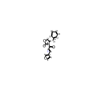 O=C(/C=C/c1ccoc1)N1C(=O)OC[C@@H]1Cc1ccccc1